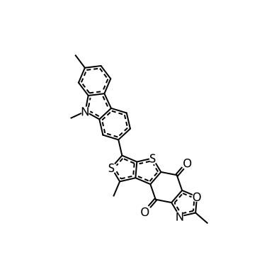 Cc1ccc2c3ccc(-c4sc(C)c5c6c(sc45)C(=O)c4oc(C)nc4C6=O)cc3n(C)c2c1